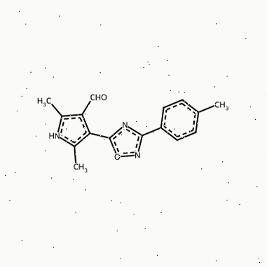 Cc1ccc(-c2noc(-c3c(C)[nH]c(C)c3C=O)n2)cc1